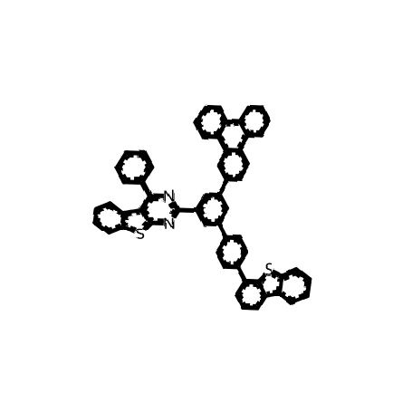 c1ccc(-c2nc(-c3cc(-c4ccc(-c5cccc6c5sc5ccccc56)cc4)cc(-c4ccc5c6ccccc6c6ccccc6c5c4)c3)nc3sc4ccccc4c23)cc1